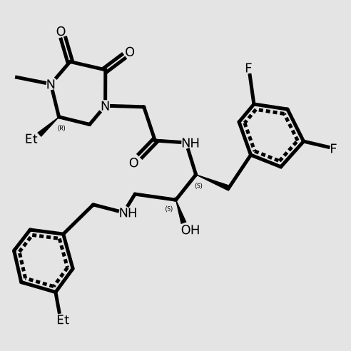 CCc1cccc(CNC[C@H](O)[C@H](Cc2cc(F)cc(F)c2)NC(=O)CN2C[C@@H](CC)N(C)C(=O)C2=O)c1